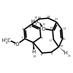 COC1=CC2=CC[C@@H]1CC[C@@H]1C=CC(=C(OC)C1)CC2